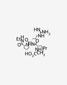 CC(=O)O.CCNC(=O)[C@@H]1CCCN1C(=O)[C@H](CCCNC(=N)N)NC(=O)[C@@H](N)CC(C)C